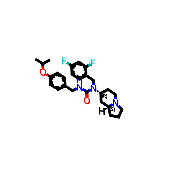 CC(C)Oc1ccc(CNC(=O)N(Cc2ccc(F)cc2F)[C@@H]2CCN3CCC[C@H]3C2)cc1